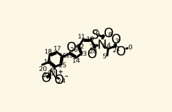 COC(=O)C(C)N1C(=O)S/C(=C/c2ccc(-c3ccc(C)c([N+](=O)[O-])c3)o2)C1=O